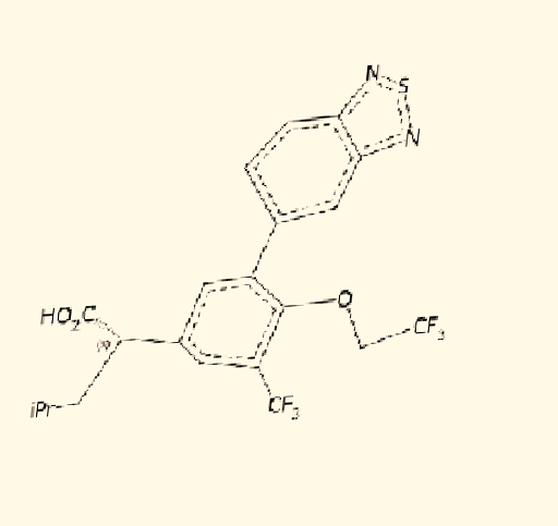 CC(C)C[C@H](C(=O)O)c1cc(-c2ccc3nsnc3c2)c(OCC(F)(F)F)c(C(F)(F)F)c1